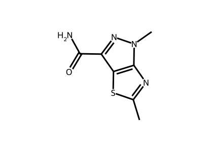 Cc1nc2c(s1)c(C(N)=O)nn2C